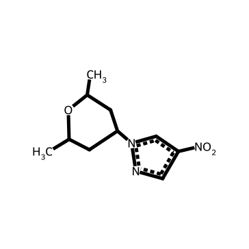 CC1CC(n2cc([N+](=O)[O-])cn2)CC(C)O1